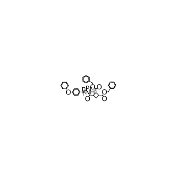 CCC[C@@](C)(NC(=O)C1CC(C(=O)OCc2ccccc2)C1C(=O)OCc1ccccc1)c1ccc(Oc2ccccc2)cc1